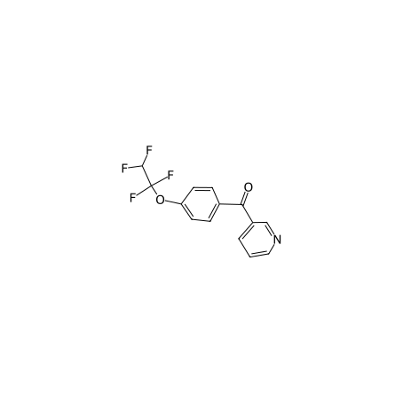 O=C(c1ccc(OC(F)(F)C(F)F)cc1)c1cccnc1